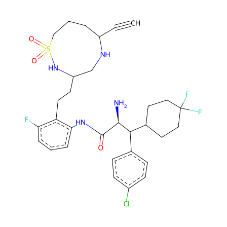 C#CC1CCCS(=O)(=O)NC(CCc2c(F)cccc2NC(=O)[C@@H](N)C(c2ccc(Cl)cc2)C2CCC(F)(F)CC2)CN1